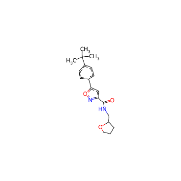 CC(C)(C)c1ccc(-c2cc(C(=O)NCC3CCCO3)no2)cc1